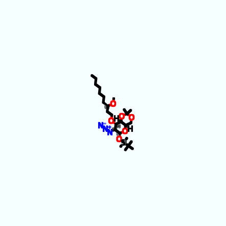 CCCCCCC[C@H](CCO[C@@H]1[C@@H](N=[N+]=[N-])[C@H](O[Si](C)(C)C(C)(C)C)O[C@@H]2COC(C)(C)O[C@@H]12)OC